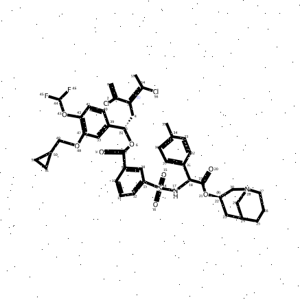 C=C(Cl)/C(C[C@H](OC(=O)c1cccc(S(=O)(=O)NC(C(=O)O[C@@H]2CC3CCCN(C3)C2)c2ccc(C)cc2)c1)c1ccc(OC(F)F)c(OCC2CC2)c1)=C(\C)Cl